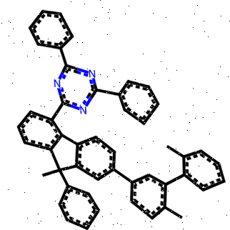 Cc1ccccc1-c1cc(-c2ccc3c(c2)C(C)(c2ccccc2)c2cccc(-c4nc(-c5ccccc5)nc(-c5ccccc5)n4)c2-3)ccc1C